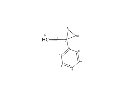 C#CC1(c2ccccc2)CC1